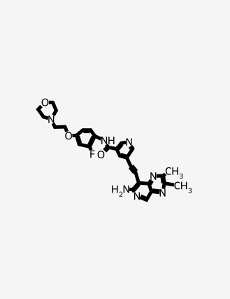 Cc1nc2cnc(N)c(C#Cc3cncc(C(=O)Nc4ccc(OCCN5CCOCC5)cc4F)c3)c2nc1C